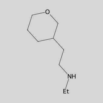 CCNCCC1CCCOC1